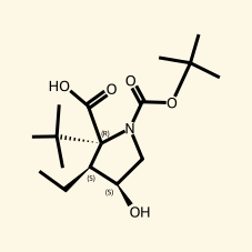 CC[C@@H]1[C@H](O)CN(C(=O)OC(C)(C)C)[C@@]1(C(=O)O)C(C)(C)C